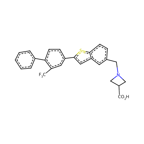 O=C(O)C1CN(Cc2ccc3sc(-c4ccc(-c5ccccc5)c(C(F)(F)F)c4)cc3c2)C1